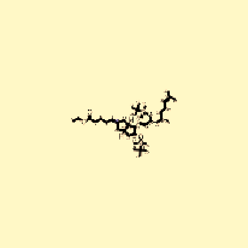 CCOC(=O)CCC/C=C1\C[C@H]2C[C@@H](O[Si](C)(C)C(C)(C)C)[C@@H](C=C[C@H](C[C@H](C)CCC=C(C)C)O[Si](C)(C)C(C)(C)C)[C@H]2C1